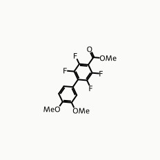 COC(=O)c1c(F)c(F)c(-c2ccc(OC)c(OC)c2)c(F)c1F